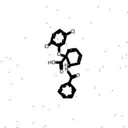 O=C(NC1C=CC=CC1(Oc1cc(Cl)ccc1Cl)C(=O)O)c1ccccc1